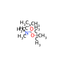 C[N+](C)C(OC(C)(C)C)OC(C)(C)C